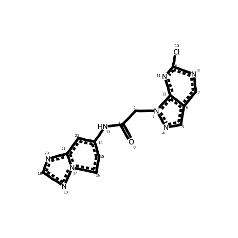 O=C(Cn1ncc2cnc(Cl)nc21)Nc1ccn2ncnc2c1